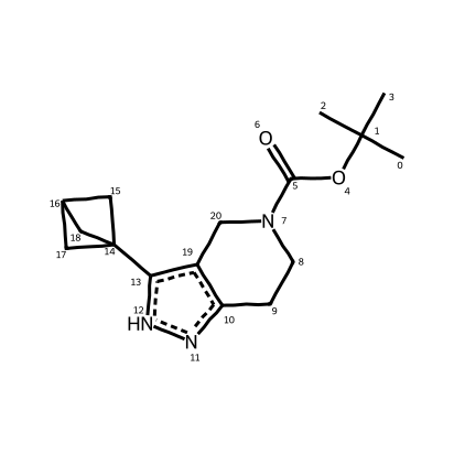 CC(C)(C)OC(=O)N1CCc2n[nH]c(C34CC(C3)C4)c2C1